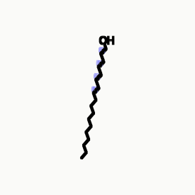 CCCCCCCCCC/C=C/C=C/C=C/C=C/O